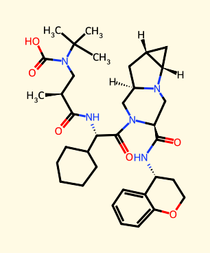 C[C@@H](CN(C(=O)O)C(C)(C)C)C(=O)N[C@H](C(=O)N1C[C@H]2C[C@@H]3C[C@@H]3N2C[C@H]1C(=O)N[C@@H]1CCOc2ccccc21)C1CCCCC1